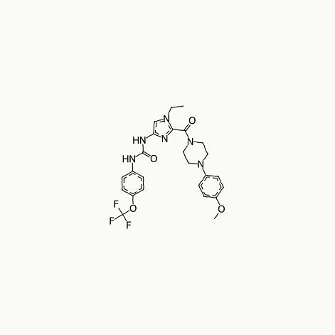 CCn1cc(NC(=O)Nc2ccc(OC(F)(F)F)cc2)nc1C(=O)N1CCN(c2ccc(OC)cc2)CC1